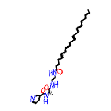 CCC=CCC=CCC=CCC=CCC=CCCCC(=O)NCCNC(=O)[C@H](C)NC(=O)c1cccnc1